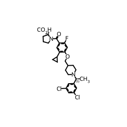 C[C@@H](c1cc(Cl)cc(Cl)c1)N1CCC(COc2cc(F)c(C(=O)N3CCC[C@H]3C(=O)O)cc2C2CC2)CC1